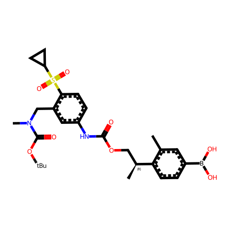 Cc1cc(B(O)O)ccc1[C@@H](C)COC(=O)Nc1ccc(S(=O)(=O)C2CC2)c(CN(C)C(=O)OC(C)(C)C)c1